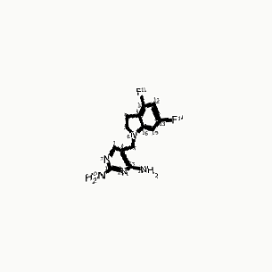 Nc1ncc(CN2CCc3c(F)cc(F)cc32)c(N)n1